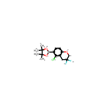 CC1(C)OB(c2ccc3c(c2Cl)CC(F)(F)CO3)OC1(C)C